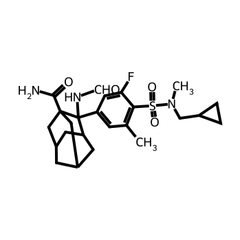 Cc1cc(C2(NC=O)C3CC4CC(C3)CC2(C(N)=O)C4)cc(F)c1S(=O)(=O)N(C)CC1CC1